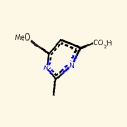 COc1cc(C(=O)O)nc(C)n1